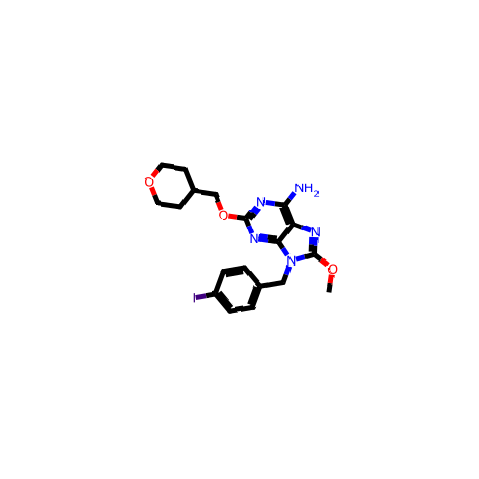 COc1nc2c(N)nc(OCC3CCOCC3)nc2n1Cc1ccc(I)cc1